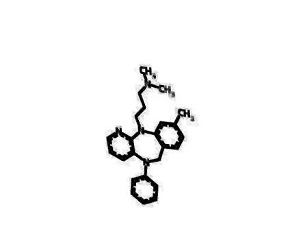 Cc1ccc2c(c1)N(CCCN(C)C)c1ncccc1N(c1ccccc1)C2